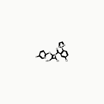 CCCC1=C(Oc2ccc(F)cn2)N(C(=O)c2cc(Cl)ccc2-n2nccn2)C1CC